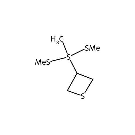 CSS(C)(SC)C1CSC1